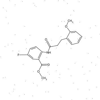 COC(=O)c1cc(F)ccc1NC(=O)CCc1ccccc1OC